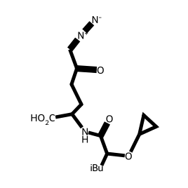 CCC(C)C(OC1CC1)C(=O)NC(CCC(=O)C=[N+]=[N-])C(=O)O